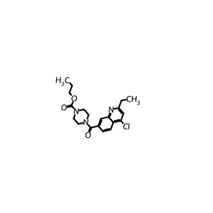 CCCOC(=O)N1CCN(C(=O)c2ccc3c(Cl)cc(CC)nc3c2)CC1